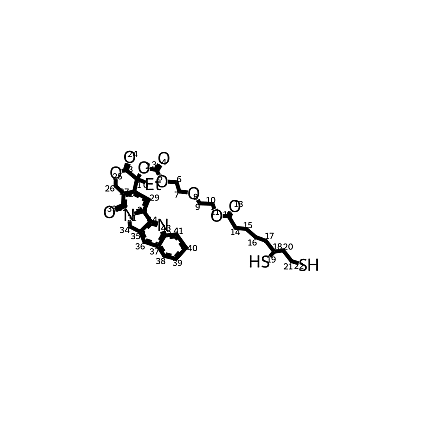 CCC1(OC(=O)OCCOCCOC(=O)CCCCC(S)CCS)C(=O)OCc2c1cc1n(c2=O)Cc2cc3ccccc3nc2-1